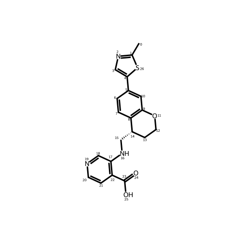 Cc1ncc(-c2ccc3c(c2)OCC[C@@H]3CNc2cnccc2C(=O)O)s1